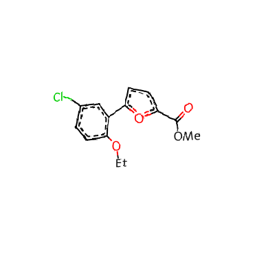 CCOc1ccc(Cl)cc1-c1ccc(C(=O)OC)o1